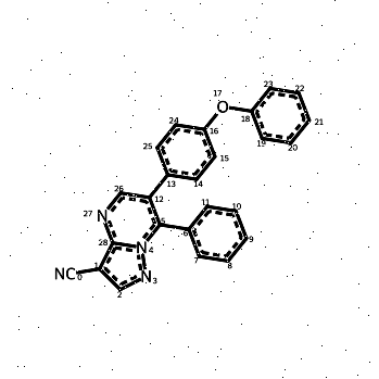 N#Cc1cnn2c(-c3ccccc3)c(-c3ccc(Oc4ccccc4)cc3)cnc12